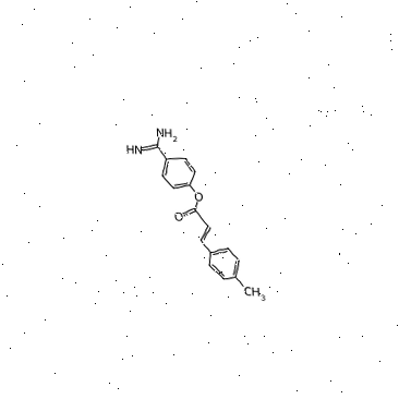 Cc1ccc(C=CC(=O)Oc2ccc(C(=N)N)cc2)cc1